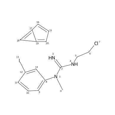 CN(C(=N)NCCCl)c1cccc(I)c1.c1cc2cc-2c1